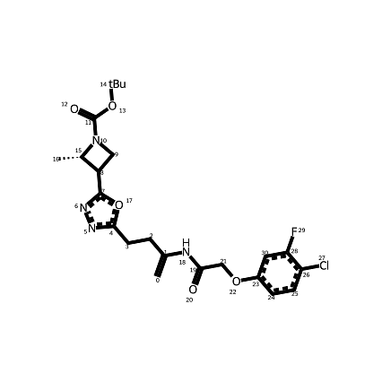 C=C(CCc1nnc(C2CN(C(=O)OC(C)(C)C)[C@H]2C)o1)NC(=O)COc1ccc(Cl)c(F)c1